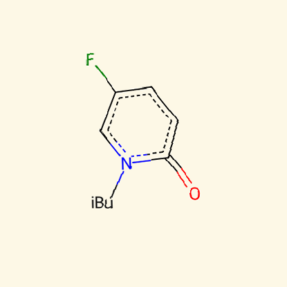 CCC(C)n1cc(F)ccc1=O